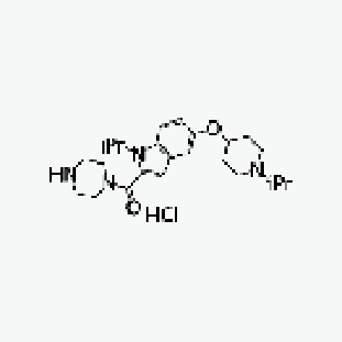 CC(C)N1CCC(Oc2ccc3c(c2)cc(C(=O)N2CCNCC2)n3C(C)C)CC1.Cl